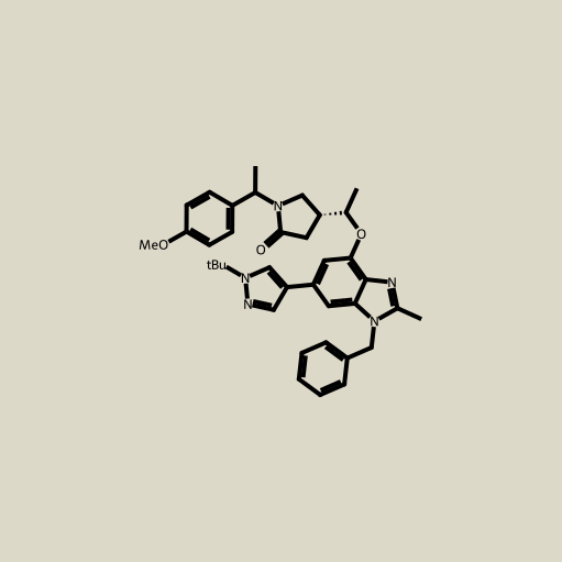 COc1ccc(C(C)N2C[C@H](C(C)Oc3cc(-c4cnn(C(C)(C)C)c4)cc4c3nc(C)n4Cc3ccccc3)CC2=O)cc1